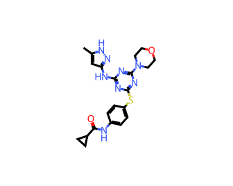 Cc1cc(Nc2nc(Sc3ccc(NC(=O)C4CC4)cc3)nc(N3CCOCC3)n2)n[nH]1